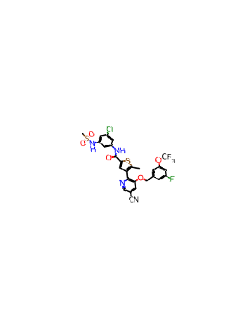 Cc1sc(C(=O)Nc2cc(Cl)cc(NS(C)(=O)=O)c2)cc1-c1ncc(C#N)cc1OCc1cc(F)cc(OC(F)(F)F)c1